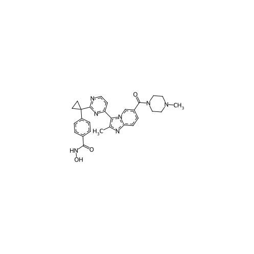 Cc1nc2ccc(C(=O)N3CCN(C)CC3)cn2c1-c1ccnc(C2(c3ccc(C(=O)NO)cc3)CC2)n1